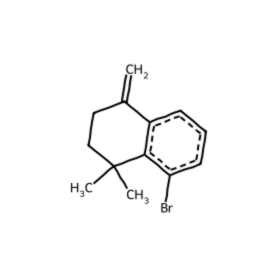 C=C1CCC(C)(C)c2c(Br)cccc21